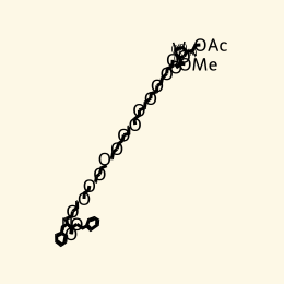 COC(=O)[C@@]1(OCCOCCOCCOCCOCCOCCOCCOCCOCCOCCOCCOCCOCCN(Cc2ccccc2)C(=O)OCc2ccccc2)C[C@@H](C)[C@@H](C)C([C@H](C)COC(C)=O)O1